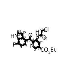 CCOC(=O)c1cnc(C(=O)c2ccc(F)c3[nH]ncc23)c(NC(=O)CCl)c1